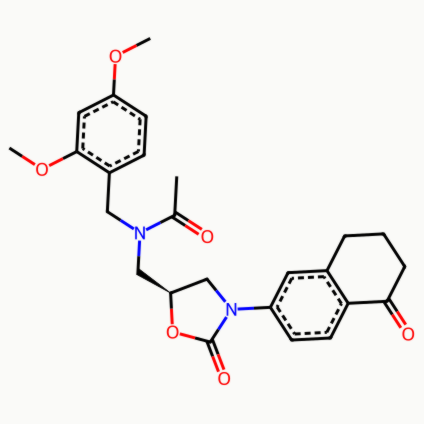 COc1ccc(CN(C[C@H]2CN(c3ccc4c(c3)CCCC4=O)C(=O)O2)C(C)=O)c(OC)c1